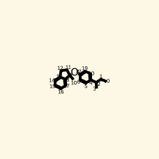 CCC(C)c1ccc(OC2(C)CCc3ccccc32)cc1